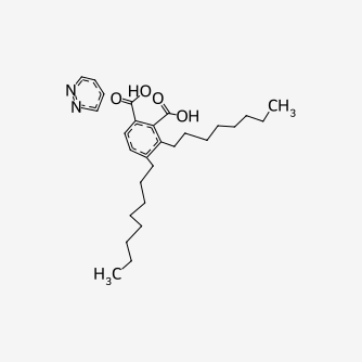 CCCCCCCCc1ccc(C(=O)O)c(C(=O)O)c1CCCCCCCC.c1ccnnc1